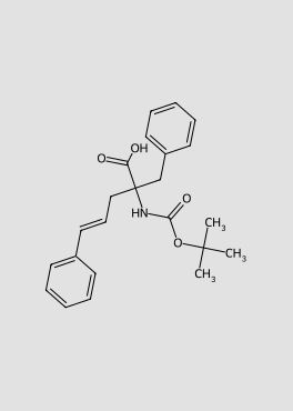 CC(C)(C)OC(=O)NC(C/C=C/c1ccccc1)(Cc1ccccc1)C(=O)O